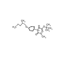 CCCC(C)COc1ccc([C@@H](NC(=O)OC(C)(C)C)C(=O)OC)cc1